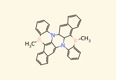 CB1C2=c3ccccc3=CC3C2N(c2ccccc21)c1cc2ccccc2c2c1N3c1ccccc1B2C